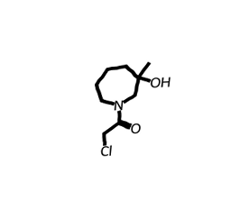 CC1(O)CCCCN(C(=O)CCl)C1